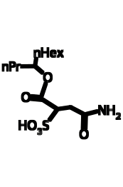 CCCCCCC(CCC)OC(=O)C(CC(N)=O)S(=O)(=O)O